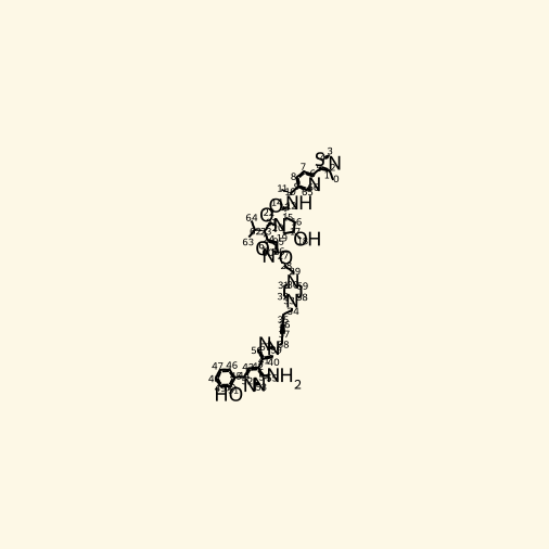 Cc1ncsc1-c1ccc([C@H](C)NC(=O)[C@@H]2C[C@@H](O)CN2C(=O)[C@@H](c2cc(OCCN3CCN(CCC#CCn4cc(-c5cc(-c6ccccc6O)nnc5N)cn4)CC3)no2)C(C)C)cn1